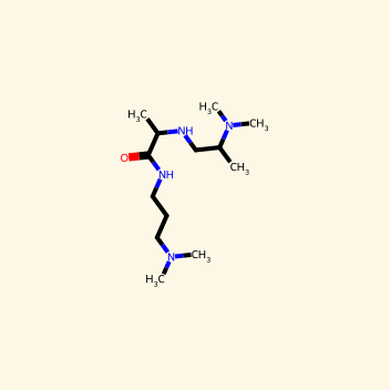 CC(NCC(C)N(C)C)C(=O)NCCCN(C)C